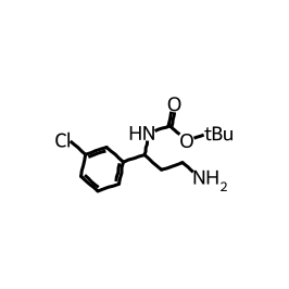 CC(C)(C)OC(=O)NC(CCN)c1cccc(Cl)c1